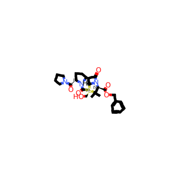 CC1(C)[C@H](C(=O)OCc2ccccc2)N2C(=O)C[C@H]2[S@@]1(CO)C(=O)N1CCC[C@H]1C(=O)N1CCCC1